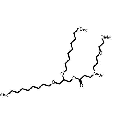 CCCCCCCCCCCCCCCCCCOCC(COC(=O)CCN(CCCOCCOC)C(C)=O)OCCCCCCCCCCCCCCCCCC